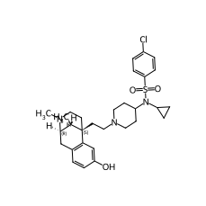 C[C@H]1[C@H]2Cc3ccc(O)cc3[C@@]1(CCN1CCC(N(C3CC3)S(=O)(=O)c3ccc(Cl)cc3)CC1)CCN2C